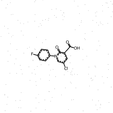 O=C(O)c1cc(Cl)cn(-c2ccc(F)cc2)c1=O